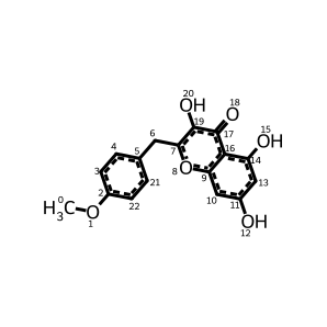 COc1ccc(Cc2oc3cc(O)cc(O)c3c(=O)c2O)cc1